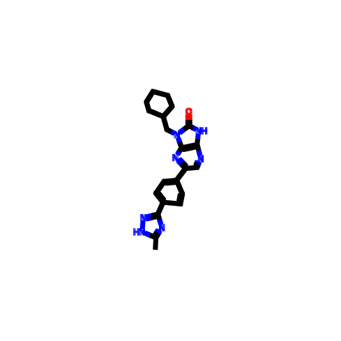 Cc1nc(-c2ccc(-c3cnc4[nH]c(=O)n(CC5CCCCC5)c4n3)cc2)n[nH]1